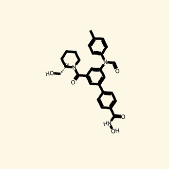 Cc1ccc(N(C=O)c2cc(C(=O)N3CCCC[C@H]3CO)cc(-c3ccc(C(=O)NO)cc3)c2)cc1